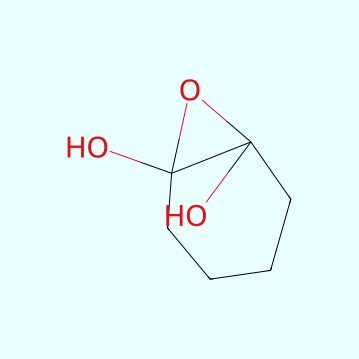 OC12CCCCC1(O)O2